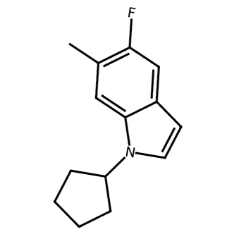 Cc1cc2c(ccn2C2CCCC2)cc1F